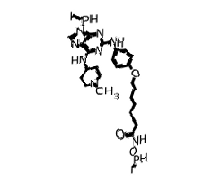 CN1CCC(Nc2nc(Nc3ccc(OCCCCCCC(=O)NOPI)cc3)nc3c2ncn3PI)CC1